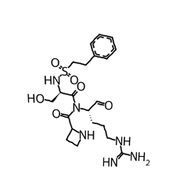 N=C(N)NCCC[C@@H](C=O)N(C(=O)C1CCN1)C(=O)[C@@H](CO)NS(=O)(=O)CCc1ccccc1